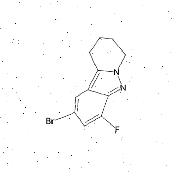 Fc1cc(Br)cc2c3n(nc12)CCCC3